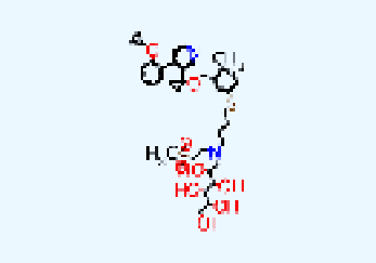 Cc1ccc(SCCCCN(CCS(C)(=O)=O)CC(O)C(O)C(O)C(O)CO)cc1COC1(c2cnccc2-c2ccccc2OC2CC2)CC1